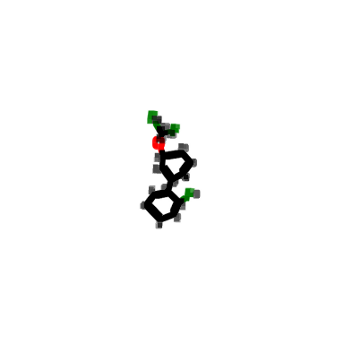 Fc1ccccc1-c1[c]ccc(OC(F)F)c1